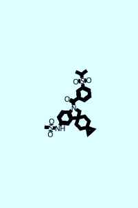 CC(C)S(=O)(=O)c1cccc(C(=O)N2CC3(CCC4(CC4)CC3)c3cc(NS(C)(=O)=O)ccc32)c1